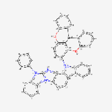 c1ccc(-n2c3ccccc3n3c4ccc5c6ccccc6n(-c6ccc7c8c6Oc6ccccc6B8c6ccccc6O7)c5c4nc23)cc1